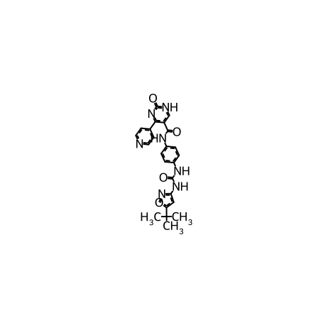 CC(C)(C)c1cc(NC(=O)Nc2ccc(NC(=O)c3c[nH]c(=O)nc3-c3ccncc3)cc2)no1